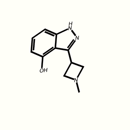 CN1CC(c2n[nH]c3cccc(O)c23)C1